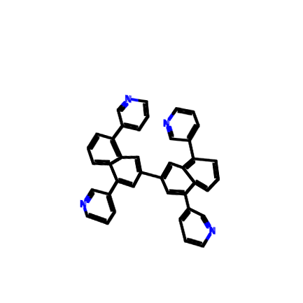 c1cncc(-c2cc(-c3cc(-c4cccnc4)c4cccc(-c5cccnc5)c4c3)cc3c(-c4cccnc4)cccc23)c1